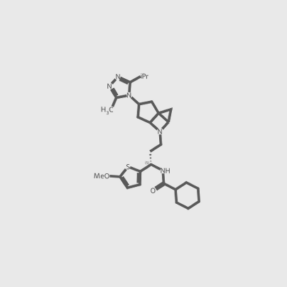 COc1ccc([C@H](CCN2C3CC(n4c(C)nnc4C(C)C)CC34CC24)NC(=O)C2CCCCC2)s1